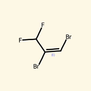 FC(F)/C(Br)=C\Br